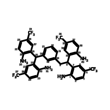 Nc1ccc(C(F)(F)F)cc1C(Cc1cccc(C(c2cc(C(F)(F)F)ccc2N)c2cc(C(F)(F)F)ccc2N)c1)c1cc(C(F)(F)F)ccc1N